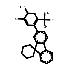 CC1CC(C(C)(C)O)=C(c2ccc3c(c2)C2(CCCCC2)c2ccccc2-3)C=C1Cl